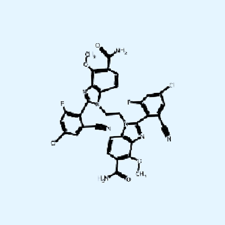 COc1c(C(N)=O)ccc2c1nc(-c1c(F)cc(Cl)cc1C#N)n2CCn1c(-c2c(F)cc(Cl)cc2C#N)nc2c(OC)c(C(N)=O)ccc21